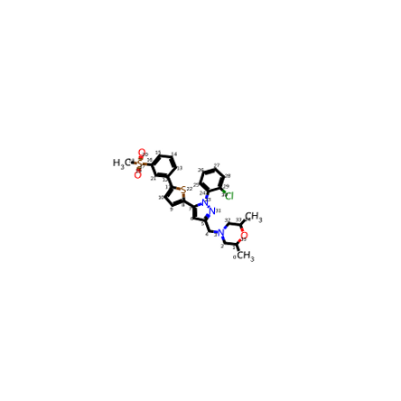 CC1CN(Cc2cc(-c3ccc(-c4cccc(S(C)(=O)=O)c4)s3)n(-c3ccccc3Cl)n2)CC(C)O1